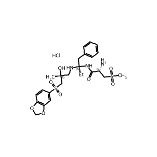 CC[C@](Cc1ccccc1)(NC[C@@](C)(O)CS(=O)(=O)c1ccc2c(c1)OCO2)NC(=O)[C@H](N)CS(C)(=O)=O.Cl